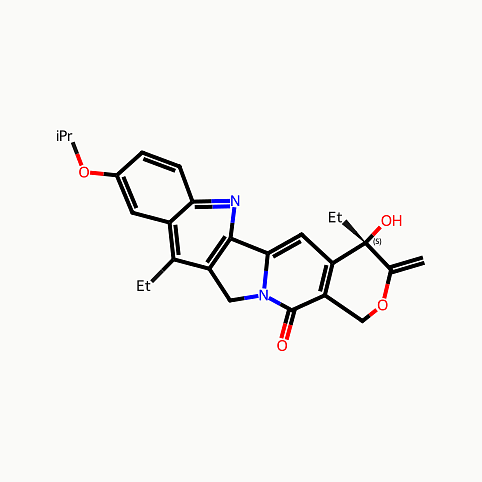 C=C1OCc2c(cc3n(c2=O)Cc2c-3nc3ccc(OC(C)C)cc3c2CC)[C@@]1(O)CC